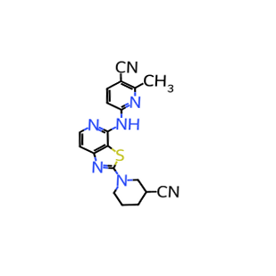 Cc1nc(Nc2nccc3nc(N4CCCC(C#N)C4)sc23)ccc1C#N